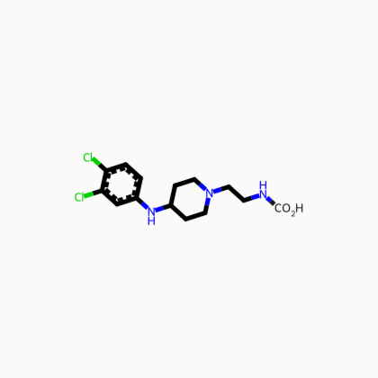 O=C(O)NCCN1CCC(Nc2ccc(Cl)c(Cl)c2)CC1